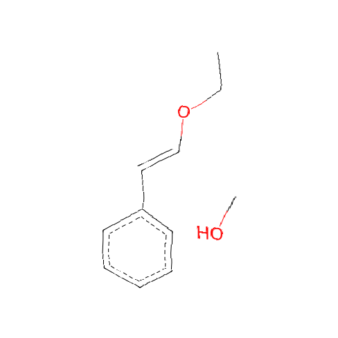 CCOC=Cc1ccccc1.CO